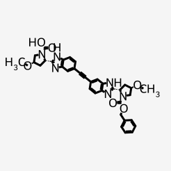 CO[C@@H]1C[C@@H](c2nc3cc(C#Cc4ccc5nc([C@@H]6C[C@@H](OC)CN6C(=O)OCc6ccccc6)[nH]c5c4)ccc3[nH]2)N(C(=O)O)C1